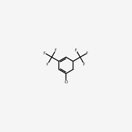 FC(F)(F)C1=CC(C(F)(F)F)[CH]C(Cl)=C1